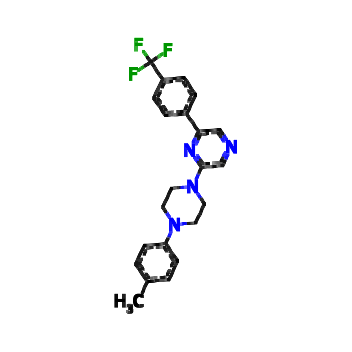 Cc1ccc(N2CCN(c3cncc(-c4ccc(C(F)(F)F)cc4)n3)CC2)cc1